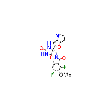 COc1c(F)cc2c(c1F)C(=O)N(C[C@@]1(c3cc4ncccc4o3)NC(=O)NC1=O)C2